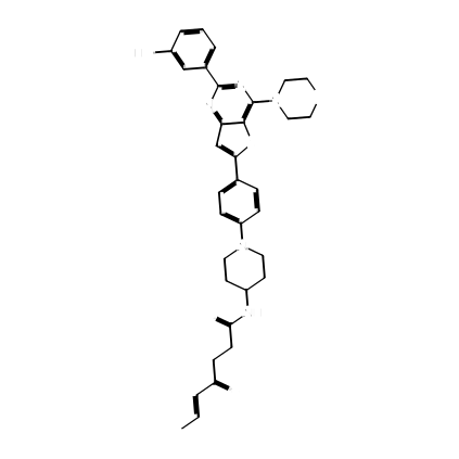 C/C=C/C(=O)CCC(=O)NC1CCN(c2ccc(-c3cc4nc(-c5cccc(O)c5)nc(N5CCOCC5)c4s3)cc2)CC1